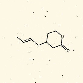 CC=CCC1CCOC(=O)C1